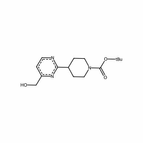 CC(C)(C)OC(=O)N1CCC(c2nccc(CO)n2)CC1